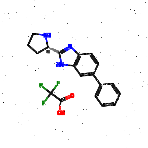 O=C(O)C(F)(F)F.c1ccc(-c2ccc3nc([C@@H]4CCCN4)[nH]c3c2)cc1